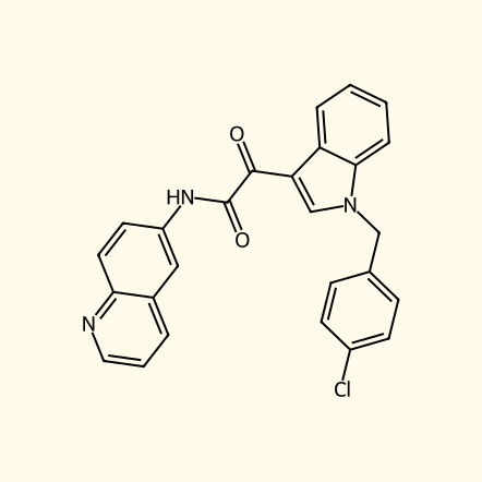 O=C(Nc1ccc2ncccc2c1)C(=O)c1cn(Cc2ccc(Cl)cc2)c2ccccc12